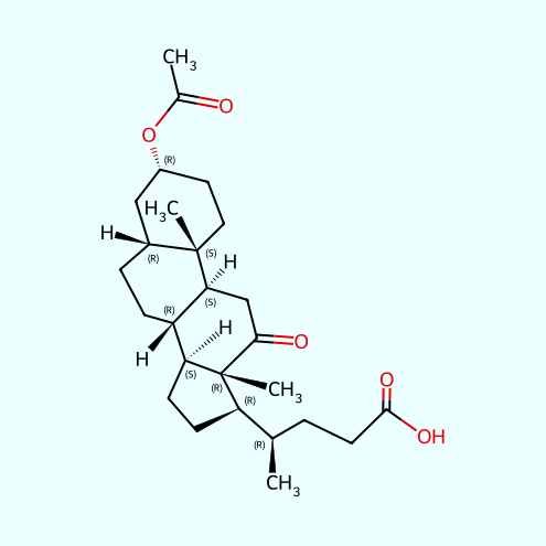 CC(=O)O[C@@H]1CC[C@@]2(C)[C@H](CC[C@@H]3[C@@H]2CC(=O)[C@]2(C)[C@@H]([C@H](C)CCC(=O)O)CC[C@@H]32)C1